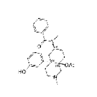 CC(=O)O[C@]12CC[C@H](N(C)C(=O)c3ccccc3)C[C@]1(c1cccc(O)c1)CCN(C)C2